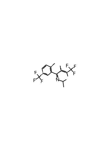 CC(/C(=N\C(C)C)c1cc(C(F)(F)F)ccc1C)=C(/C)C(F)(F)F